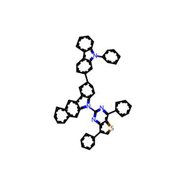 c1ccc(-c2csc3c(-c4ccccc4)nc(-n4c5ccc(-c6ccc7c8ccccc8n(-c8ccccc8)c7c6)cc5c5cc6ccccc6cc54)nc23)cc1